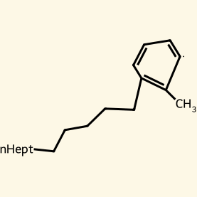 CCCCCCCCCCCCc1ccc[c]c1C